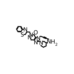 CC#CCn1c(N2CCCC(N)C2)nc2cnn(CC3=Nc4ccccc4SC3)c(=O)c21